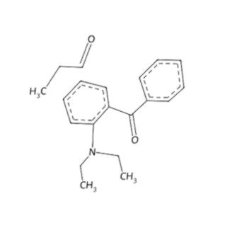 CCC=O.CCN(CC)c1ccccc1C(=O)c1ccccc1